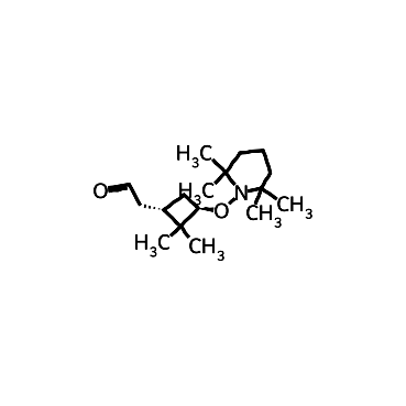 CC1(C)[C@H](CC=O)C[C@H]1ON1C(C)(C)CCCC1(C)C